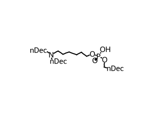 CCCCCCCCCCCOP(=O)(O)OCCCCCCN(CCCCCCCCCC)CCCCCCCCCC